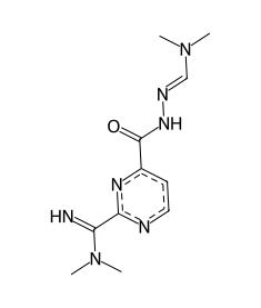 CN(C)C=NNC(=O)c1ccnc(C(=N)N(C)C)n1